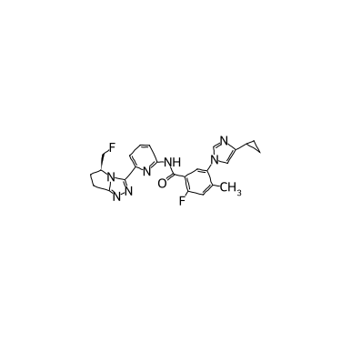 Cc1cc(F)c(C(=O)Nc2cccc(-c3nnc4n3[C@H](CF)CC4)n2)cc1-n1cnc(C2CC2)c1